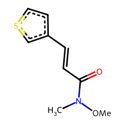 CON(C)C(=O)/C=C/c1ccsc1